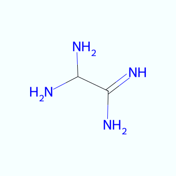 N=C(N)C(N)N